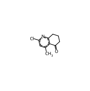 Cc1cc(Cl)nc2c1C(=O)CCC2